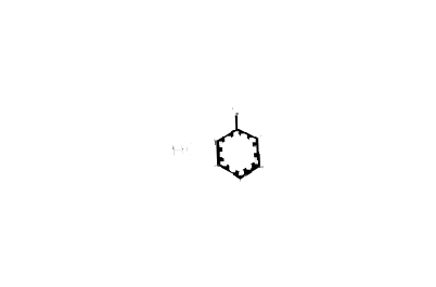 Cl.Clc1ccccc1